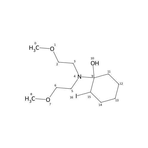 COCCN(CCOC)C1(O)CCCCC1I